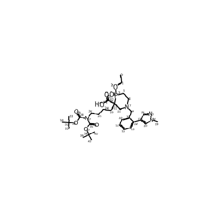 CCOP1(=O)CCN(Cc2ccccc2-c2cnn(C)c2)CC1(CCCCN(C(=O)OC(C)(C)C)C(=O)OC(C)(C)C)C(=O)O